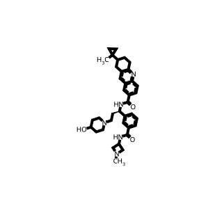 CN1CC(NC(=O)c2cccc([C@@H](CCN3CCC(O)CC3)NC(=O)c3ccc4nc5c(cc4c3)CC(C3(C)CC3)CC5)c2)C1